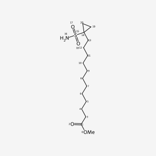 COC(=O)CCCCCCCCCCCC1(S(N)(=O)=O)CC1